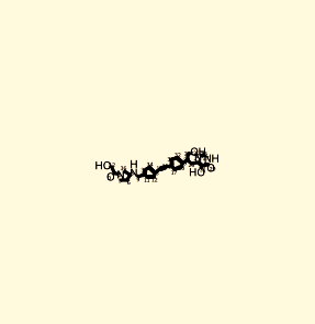 O=C(CO)N1CCC(NCc2ccc(C#Cc3ccc(C(CO)Cc4nc[nH]c(=O)c4O)cc3)cc2)C1